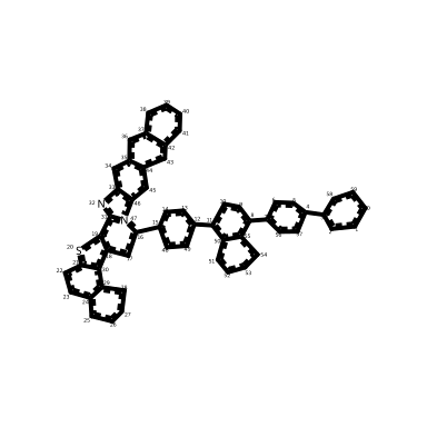 c1ccc(-c2ccc(-c3ccc(-c4ccc(-c5cc6c(sc7ccc8ccccc8c76)c6nc7cc8cc9ccccc9cc8cc7n56)cc4)c4ccccc34)cc2)cc1